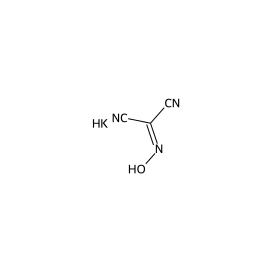 N#CC(C#N)=NO.[KH]